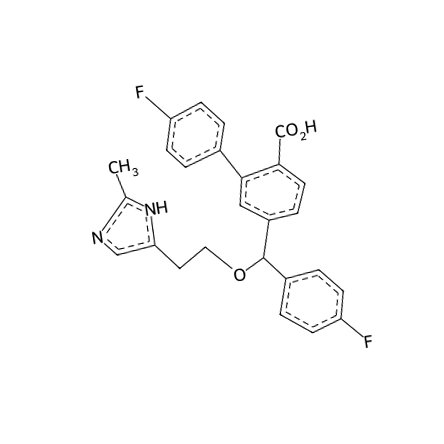 Cc1ncc(CCOC(c2ccc(F)cc2)c2ccc(C(=O)O)c(-c3ccc(F)cc3)c2)[nH]1